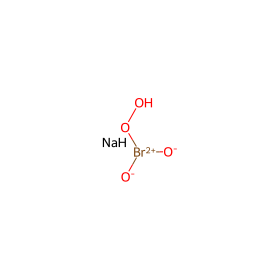 [NaH].[O-][Br+2]([O-])OO